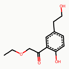 CCOCC(=O)c1cc(CCO)ccc1O